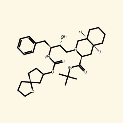 CC(C)(C)NC(=O)[C@@H]1C[C@@H]2CCCC[C@@H]2CN1C[C@@H](O)[C@H](Cc1ccccc1)NC(=O)OC1CC[C@@]2(CCCO2)C1